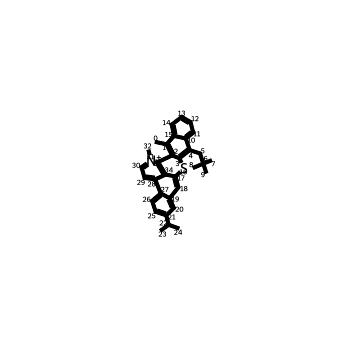 Cc1c2c(c(CC(C)(C)C)c3ccccc13)Sc1cc3cc(C(C)C)ccc3c3cc[n+](C)c-2c13